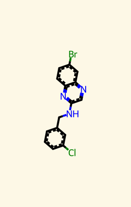 Clc1cccc(CNc2cnc3cc(Br)ccc3n2)c1